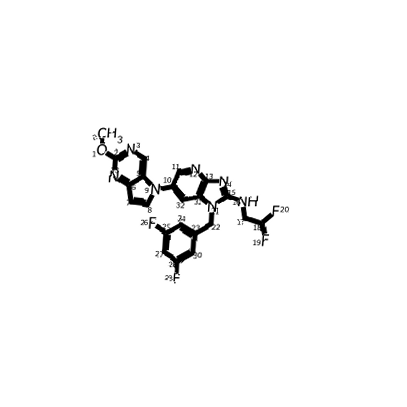 COc1ncc2c(ccn2-c2cnc3nc(NCC(F)F)n(Cc4cc(F)cc(F)c4)c3c2)n1